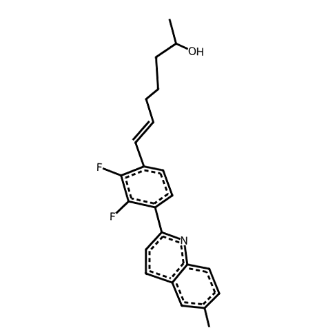 CC(O)CCCC=Cc1ccc(-c2ccc3cc(O)ccc3n2)c(F)c1F